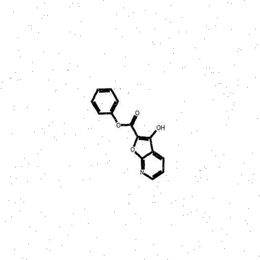 O=C(Oc1ccccc1)c1oc2ncccc2c1O